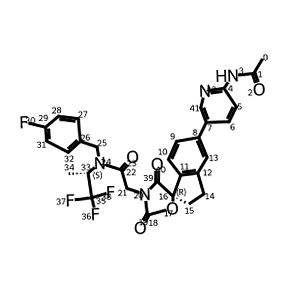 CC(=O)Nc1ccc(-c2ccc3c(c2)CC[C@@]32OC(=O)N(CC(=O)N(Cc3ccc(F)cc3)[C@@H](C)C(F)(F)F)C2=O)cn1